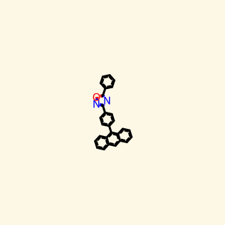 c1ccc(-c2nc(-c3ccc(-c4c5ccccc5cc5ccccc45)cc3)no2)cc1